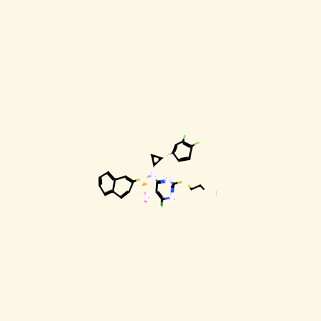 CCCSc1nc(Cl)c([N+](=O)[O-])c(N([C@@H]2C[C@H]2c2ccc(F)c(F)c2)S(=O)(=O)c2ccc3ccccc3c2)n1